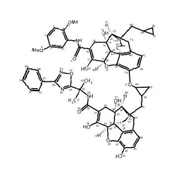 COc1ccc(OC)c(NC(=O)C2=C(O)[C@@H]3Oc4c(OC5CC5CN5CC[C@]67c8c9ccc(O)c8O[C@H]6C(O)=C(C(=O)NC(C)(C)c6nc(-c8ccccc8)no6)C[C@@]7(O)[C@H]5C9)ccc5c4[C@@]34CCN(CC3CC3)[C@H](C5)[C@]4(O)C2)c1